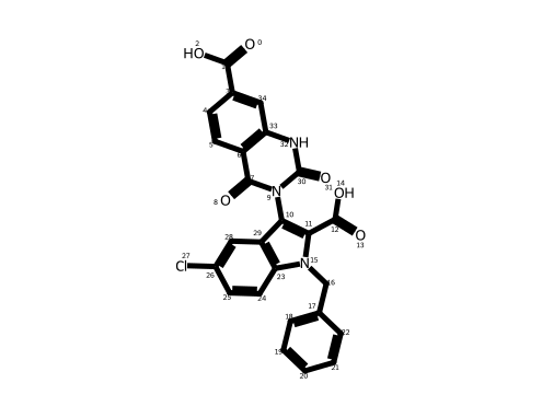 O=C(O)c1ccc2c(=O)n(-c3c(C(=O)O)n(Cc4ccccc4)c4ccc(Cl)cc34)c(=O)[nH]c2c1